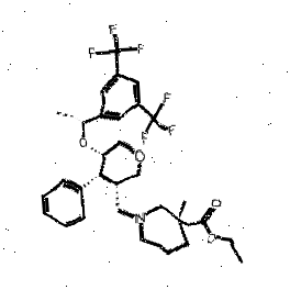 CCOC(=O)[C@]1(C)CCCN(C[C@H]2COC[C@@H](O[C@H](C)c3cc(C(F)(F)F)cc(C(F)(F)F)c3)[C@H]2c2ccccc2)C1